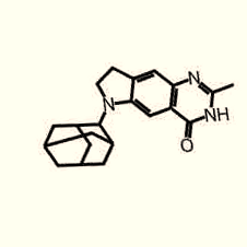 Cc1nc2cc3c(cc2c(=O)[nH]1)N(C1C2CC4CC(C2)CC1C4)CC3